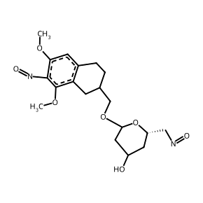 COc1cc2c(c(OC)c1N=O)CC(COC1CC(O)C[C@@H](CN=O)O1)CC2